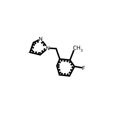 Cc1c(F)cccc1Cn1c[c]cn1